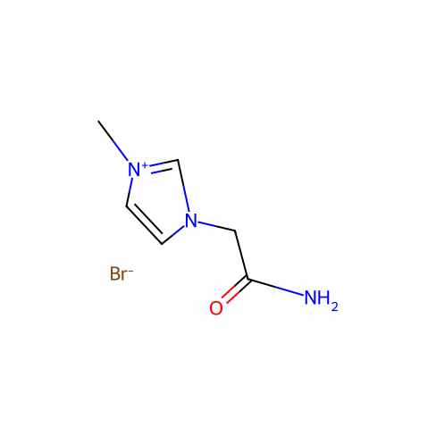 C[n+]1ccn(CC(N)=O)c1.[Br-]